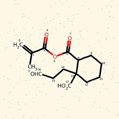 C=C(C)C(=O)OC(=O)C1CCCCC1(CCC=O)C(=O)O